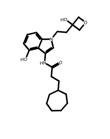 O=C(CCC1CCCCCC1)Nc1cn(CCC2(O)COC2)c2cccc(O)c12